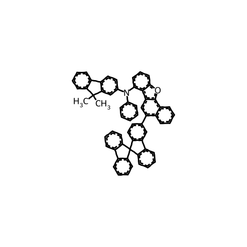 CC1(C)c2ccccc2-c2ccc(N(c3ccccc3)c3cccc4oc5c6ccccc6c(-c6ccc7c(c6)-c6ccccc6C76c7ccccc7-c7ccccc76)cc5c34)cc21